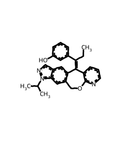 CCC(=C1c2cc3cnn(C(C)C)c3cc2COc2ncccc21)c1cccc(O)c1